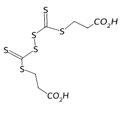 O=C(O)CCSC(=S)SSC(=S)SCCC(=O)O